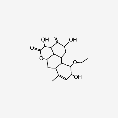 C=C1C(O)CC2C3C(CC4OC(=O)C(O)C1C42)C(C)=CC(O)C3OCC